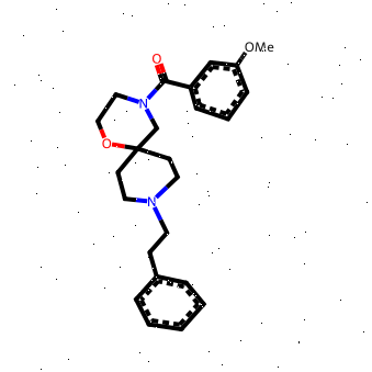 COc1cccc(C(=O)N2CCOC3(CCN(CCc4ccccc4)CC3)C2)c1